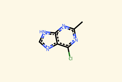 Cc1nc(Cl)c2nc[nH]c2n1